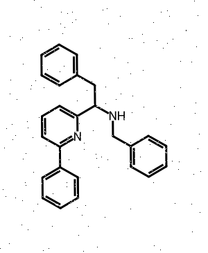 c1ccc(CNC(Cc2ccccc2)c2cccc(-c3ccccc3)n2)cc1